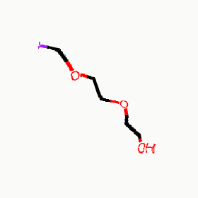 OCCOCCOCI